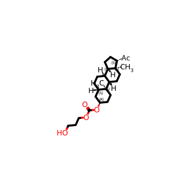 CC(=O)[C@H]1CC[C@H]2[C@@H]3CC[C@H]4C[C@H](OC(=O)OCCCO)CC[C@]4(C)[C@H]3CC[C@]12C